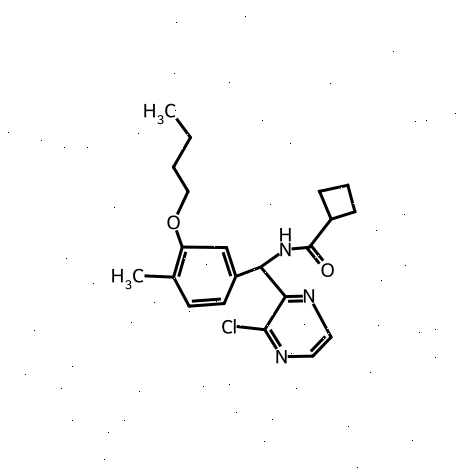 CCCCOc1cc(C(NC(=O)C2CCC2)c2nccnc2Cl)ccc1C